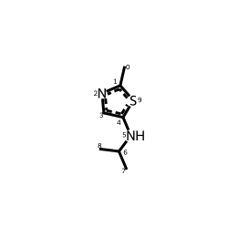 Cc1ncc(NC(C)C)s1